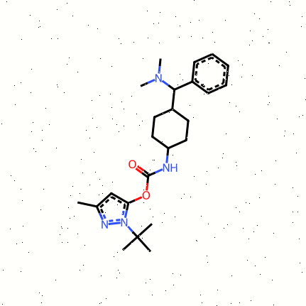 Cc1cc(OC(=O)NC2CCC(C(c3ccccc3)N(C)C)CC2)n(C(C)(C)C)n1